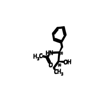 CC[C@H](O)[C@H](Cc1ccccc1)NC(C)=O